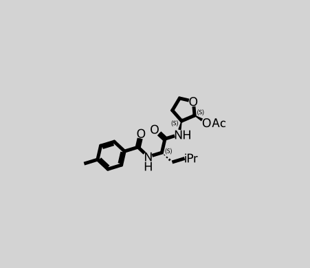 CC(=O)O[C@@H]1OCC[C@@H]1NC(=O)[C@H](CC(C)C)NC(=O)c1ccc(C)cc1